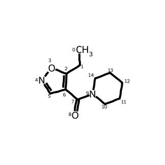 CCc1oncc1C(=O)N1CCCCC1